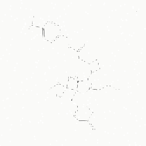 CCCC(=O)OC(CC1=CCC(=O)C=C1)(C(=O)NC1CCN1CC(=O)OCc1ccc([N+](=O)[O-])cc1)C(C)(C)SCl